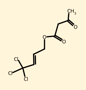 CC(=O)CC(=O)OCC=CC(Cl)(Cl)Cl